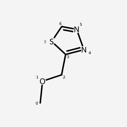 COCc1nncs1